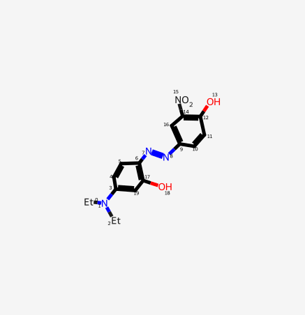 CCN(CC)c1ccc(/N=N/c2ccc(O)c([N+](=O)[O-])c2)c(O)c1